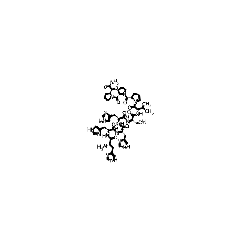 CC(C)[C@H](NC(=O)[C@H](CO)NC(=O)[C@H](Cc1c[nH]cn1)NC(=O)[C@H](Cc1c[nH]cn1)NC(=O)[C@H](Cc1c[nH]cn1)NC(=O)[C@@H](N)Cc1c[nH]cn1)C(=O)N1CCC[C@H]1C(=O)N1CCC[C@H]1C(=O)N1CCC[C@H]1C(=O)C(N)=O